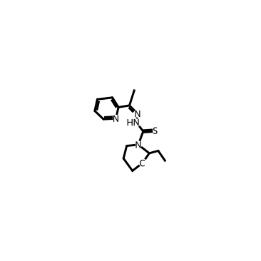 CCC1CCCCN1C(=S)NN=C(C)c1ccccn1